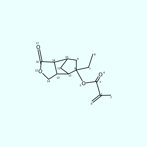 C=C(C)C(=O)OC1(CC)CC2CC1C1COC(=O)C21